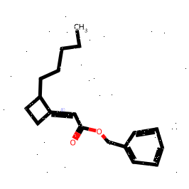 CCCCCC1CC/C1=C\C(=O)OCc1ccccc1